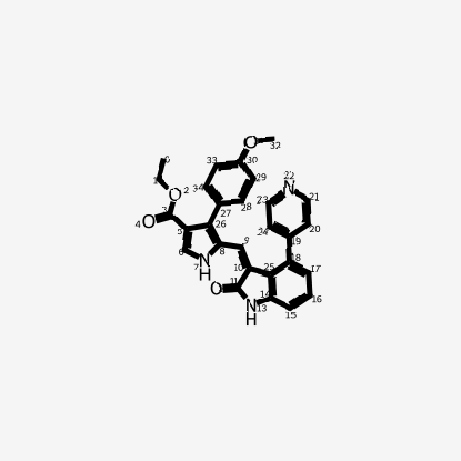 CCOC(=O)c1c[nH]c(C=C2C(=O)Nc3cccc(-c4ccncc4)c32)c1-c1ccc(OC)cc1